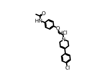 CC(=O)Nc1ccc(OCCN2CC=C(c3ccc(Cl)cc3)CC2)cc1.Cl